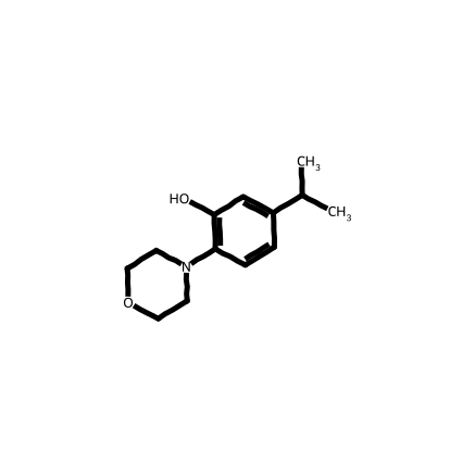 CC(C)c1ccc(N2CCOCC2)c(O)c1